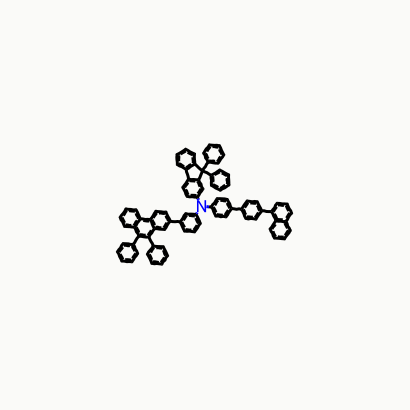 c1ccc(-c2c(-c3ccccc3)c3cc(-c4cccc(N(c5ccc(-c6ccc(-c7cccc8ccccc78)cc6)cc5)c5ccc6c(c5)C(c5ccccc5)(c5ccccc5)c5ccccc5-6)c4)ccc3c3ccccc23)cc1